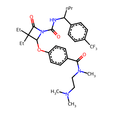 CCCC(NC(=O)N1C(=O)C(CC)(CC)C1Oc1ccc(C(=O)N(C)CCN(C)C)cc1)c1ccc(C(F)(F)F)cc1